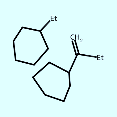 C=C(CC)C1CCCCC1.CCC1CCCCC1